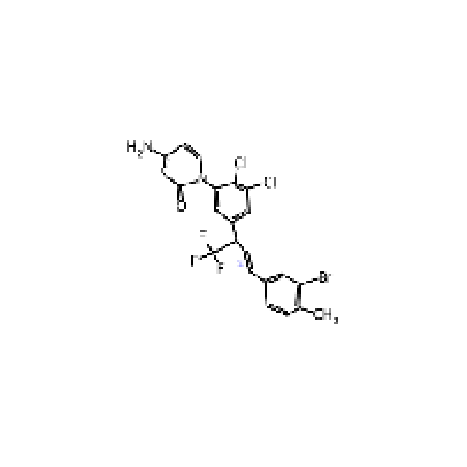 Cc1ccc(/C=C/C(c2cc(Cl)c(Cl)c(-n3ccc(N)nc3=O)c2)C(F)(F)F)cc1Br